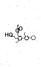 C=CC(=O)OCCc1cc(-c2ccc(C3CCCCC3)cc2CC)cc(CC)c1CCCO